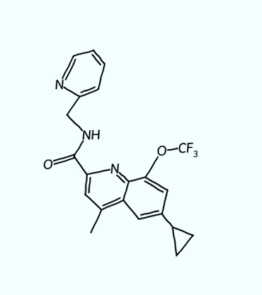 Cc1cc(C(=O)NCc2ccccn2)nc2c(OC(F)(F)F)cc(C3CC3)cc12